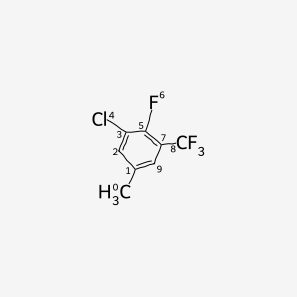 Cc1cc(Cl)c(F)c(C(F)(F)F)c1